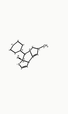 CN1C=C2C3C=CS[C@@H]3C(C3CCCCC3)N2C1